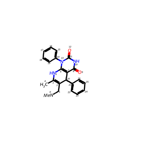 CNCC1=C(C)Nc2c(c(=O)[nH]c(=O)n2-c2ccccc2)C1c1ccccc1